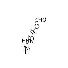 CC1(C)CC(Nc2nccc(-c3ccc(-c4cccc(CC=O)c4)s3)n2)CC(C)(C)N1